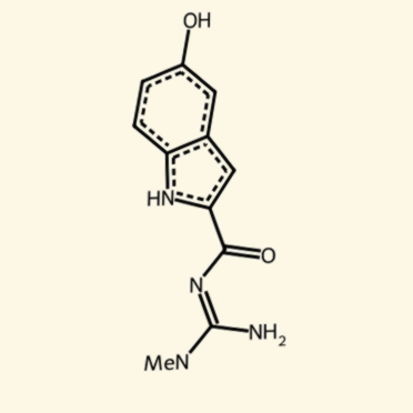 CNC(N)=NC(=O)c1cc2cc(O)ccc2[nH]1